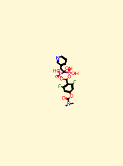 CN(C)C(=O)Oc1cc(F)c(C2OP(=O)(O)C(O)(Cc3cccnc3)P(=O)(O)O2)c(F)c1